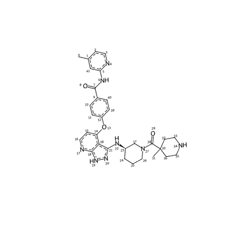 Cc1ccnc(NC(=O)c2ccc(Oc3ccnc4[nH]nc(N[C@@H]5CCCN(C(=O)C6(C)CCNCC6)C5)c34)cc2)c1